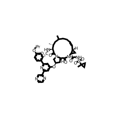 CC1CCC=C[C@@H]2C[C@@]2(C(=O)NS(=O)(=O)C2(C)CC2)NC(=O)[C@@H]2C[C@@H](Oc3cc(-c4ccc(OC(C)C)cc4)nc(-c4cnccn4)c3)CN2C(=O)[C@@H](NC(=O)O)[C@H](C)C1